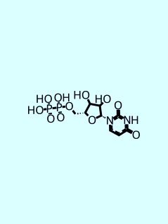 O=c1ccn([C@@H]2O[C@H](COP(=O)(O)P(=O)(O)O)C(O)C2O)c(=O)[nH]1